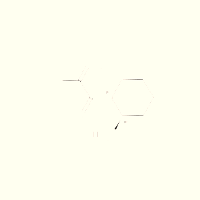 C=C(C)C(=O)[C@@H]1CCCC[C@H]1C(=O)O